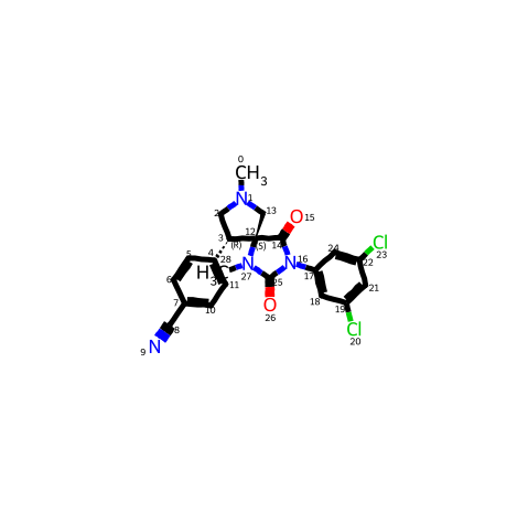 CN1C[C@@H](c2ccc(C#N)cc2)[C@]2(C1)C(=O)N(c1cc(Cl)cc(Cl)c1)C(=O)N2C